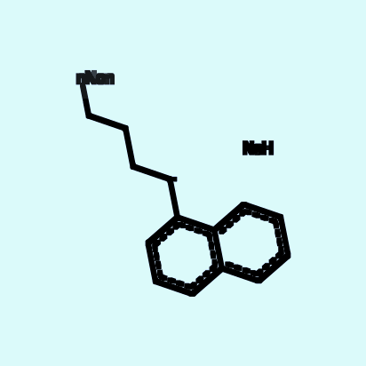 CCCCCCCCCCCC[CH]c1cccc2ccccc12.[NaH]